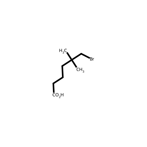 CC(C)(CBr)CCCC(=O)O